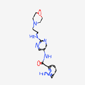 O=C(Nc1cnc(NCCN2CCOCC2)nc1)c1ccc[nH]1